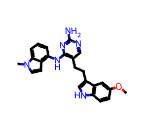 COc1ccc2[nH]cc(CCc3cnc(N)nc3Nc3cccc4c3ccn4C)c2c1